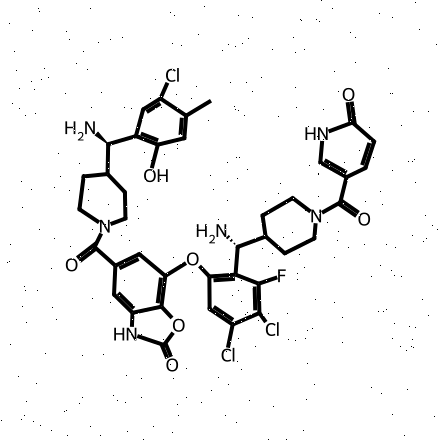 Cc1cc(O)c([C@H](N)C2CCN(C(=O)c3cc(Oc4cc(Cl)c(Cl)c(F)c4[C@H](N)C4CCN(C(=O)c5ccc(=O)[nH]c5)CC4)c4oc(=O)[nH]c4c3)CC2)cc1Cl